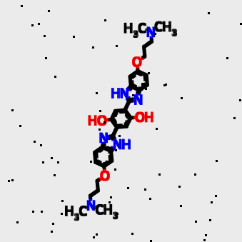 CN(C)CCCOc1ccc2nc(-c3cc(O)c(-c4nc5ccc(OCCCN(C)C)cc5[nH]4)cc3O)[nH]c2c1